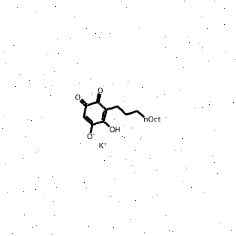 CCCCCCCCCCCC1=C(O)C([O-])=CC(=O)C1=O.[K+]